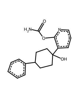 NC(=O)Oc1ncccc1C1(O)CCC(c2ccccc2)CC1